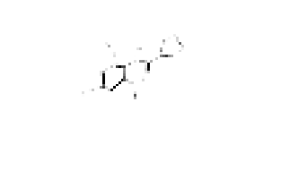 COc1cc(OC)c(NC(=O)C2CCCC2)c(OC)c1